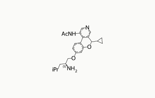 CC(=O)Nc1cncc2c1-c1ccc(OC[C@@H](N)CC(C)C)cc1OC2C1CC1